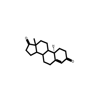 CC12CCC3C(CCC4=CC(=O)CC[C@@H]43)C1CCC2=O